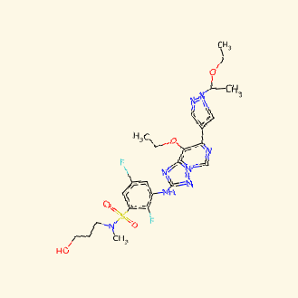 CCOc1c(-c2cnn(C(C)OCC)c2)ncn2nc(Nc3cc(F)cc(S(=O)(=O)N(C)CCCO)c3F)nc12